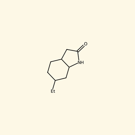 CCC1CCC2CC(=O)NC2C1